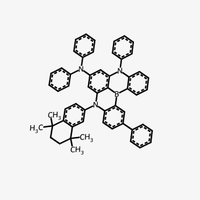 CC1(C)CCC(C)(C)c2cc(N3c4ccc(-c5ccccc5)cc4B4c5ccccc5N(c5ccccc5)c5cc(N(c6ccccc6)c6ccccc6)cc3c54)ccc21